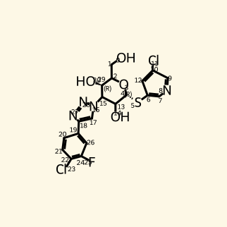 OCC1O[C@H](Sc2cncc(Cl)c2)C(O)C(n2cc(-c3ccc(Cl)c(F)c3)nn2)[C@H]1O